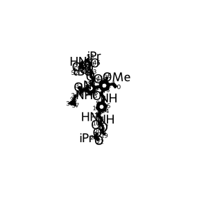 C=Cc1cc(C(=O)Nc2ccc(C(=N)NC(=O)OC(C)OC(=O)C(C)C)cc2)c(-c2ccc(C(=O)NCC3CC3)nc2C(=O)OCOC(=O)[C@@H](NC(=O)OC(C)(C)C)C(C)C)cc1OC